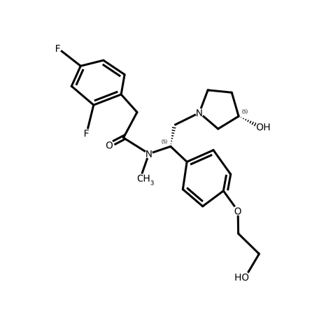 CN(C(=O)Cc1ccc(F)cc1F)[C@H](CN1CC[C@H](O)C1)c1ccc(OCCO)cc1